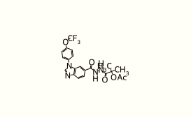 CC(=O)OC(C)(C)C(=O)NNC(=O)c1ccc2ncn(-c3ccc(OC(F)(F)F)cc3)c2c1